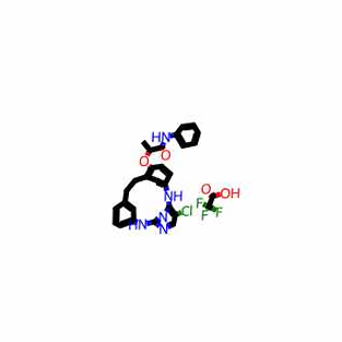 CC(Oc1ccc2cc1CCc1cccc(c1)Nc1ncc(Cl)c(n1)N2)C(=O)Nc1ccccc1.O=C(O)C(F)(F)F